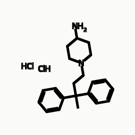 CC(CCN1CCC(N)CC1)(c1ccccc1)c1ccccc1.Cl.Cl